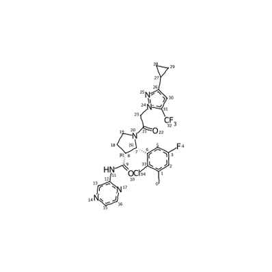 Cc1cc(F)cc([C@@H]2[C@H](C(=O)Nc3cnccn3)CCN2C(=O)Cn2nc(C3CC3)cc2C(F)(F)F)c1Cl